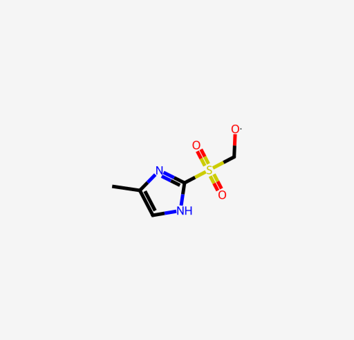 Cc1c[nH]c(S(=O)(=O)C[O])n1